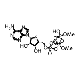 COP(=O)(O)OP(=O)(OC)OP(=O)(OC)OC[C@H]1S[C@@H](n2cnc3c(N)ncnc32)[C@H](O)[C@@H]1O